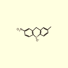 Cc1ccc2c(c1)Cc1cc([N+](=O)[O-])ccc1[S+]2[O-]